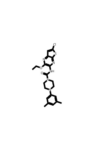 CCOc1nc2cc(Cl)sc2nc1NC(=O)N1CCN(c2cc(C)cc(C)c2)CC1